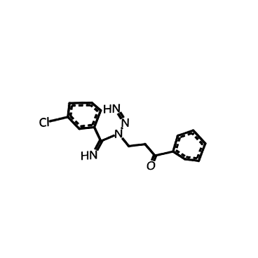 N=NN(CCC(=O)c1ccccc1)C(=N)c1cccc(Cl)c1